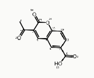 CC(=O)c1cc2cc(C(=O)O)ccc2oc1=O